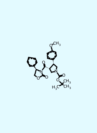 COc1ccc([C@@H]2CN(C(=O)OC(C)(C)C)C[C@@H]2C(=O)N2C(=O)OC[C@H]2c2ccccc2)cc1